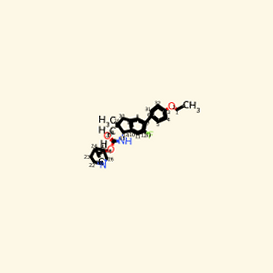 CCOc1ccc(-c2cc3c(cc2F)[C@H](NC(=O)O[C@H]2CN4CCC2CC4)C(C)(C)C3)cc1